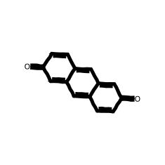 O=C1[C]=Cc2cc3c(cc2=[C]1)C=CC(=O)C=3